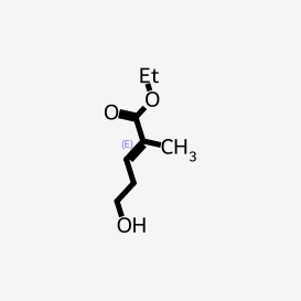 CCOC(=O)/C(C)=C/CCO